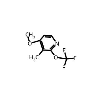 COc1ccnc(OC(F)(F)F)c1C